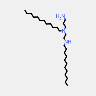 CCCCCCCCCCCCNCCN(CCCN)CCCCCCCCCCCC